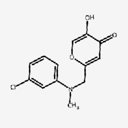 CN(Cc1cc(=O)c(O)co1)c1cccc(Cl)c1